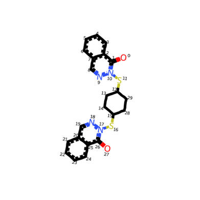 O=c1c2ccccc2cnn1SC1CCC(Sn2ncc3ccccc3c2=O)CC1